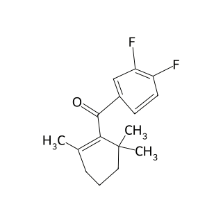 CC1=C(C(=O)c2ccc(F)c(F)c2)C(C)(C)CCC1